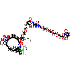 C/C1=C\C=C\[C@@H](C)[C@@]2(O)C[C@H](OC(=O)N2)[C@@H](C)[C@@H]2O[C@@]2(C)[C@@H](OC(=O)[C@H](C)OCCOCCSC2CC(=O)N(CCC(=O)NCCOCCOCCOCCOCCC(=O)ON3C(=O)CCC3=O)C2=O)CC(=O)N(C)c2cc(cc(C)c2Cl)C1